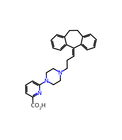 O=C(O)c1cccc(N2CCN(CCC=C3c4ccccc4CCc4ccccc43)CC2)n1